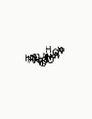 CCC(CC)NC(=O)Nc1ccc(Oc2cnc(NC(=O)c3ccc(N(CC)C(=O)CCN4CCCCC4)cc3)s2)c(OC)c1